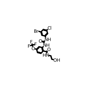 O=C(Nc1cc(Cl)cc(Br)c1)Nc1cc(OC(F)(F)F)ccc1C(=O)NCCO